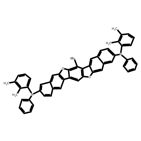 Cc1cccc(N(c2ccccc2)c2ccc3cc4c(cc3c2)oc2c(C(C)(C)C)c3c(cc24)oc2cc4cc(N(c5ccccc5)c5cccc(C)c5C)ccc4cc23)c1C